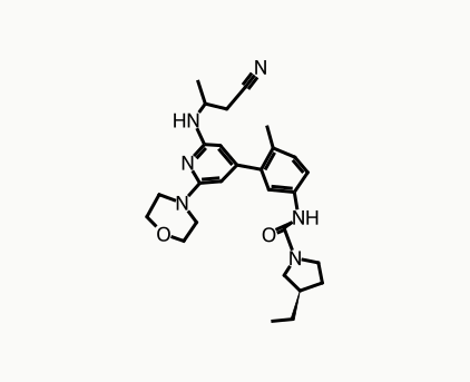 CC[C@@H]1CCN(C(=O)Nc2ccc(C)c(-c3cc(NC(C)CC#N)nc(N4CCOCC4)c3)c2)C1